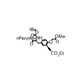 CCCCCNC(=O)[C@H](Cc1ccc(OCC(=O)OC)c(C#CC(=O)OCC)c1)NC(=O)OC(C)(C)C